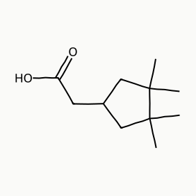 CC1(C)CC(CC(=O)O)CC1(C)C